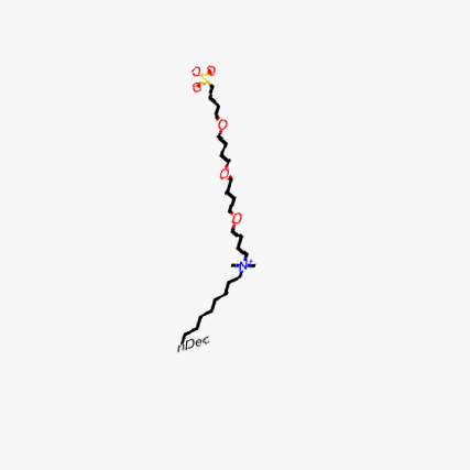 CCCCCCCCCCCCCCCCCC[N+](C)(C)CCCCOCCCCOCCCCOCCCCS(=O)(=O)[O-]